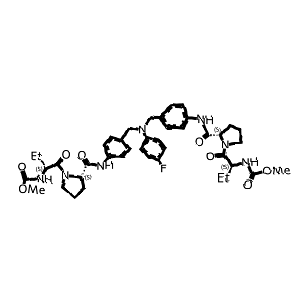 CC[C@H](NC(=O)OC)C(=O)N1CCC[C@H]1C(=O)Nc1ccc(CN(Cc2ccc(NC(=O)[C@@H]3CCCN3C(=O)[C@H](CC)NC(=O)OC)cc2)c2ccc(F)cc2)cc1